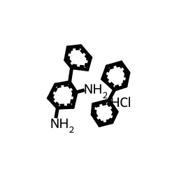 Cl.Nc1ccc(-c2ccccc2)c(N)c1.c1ccc(-c2ccccc2)cc1